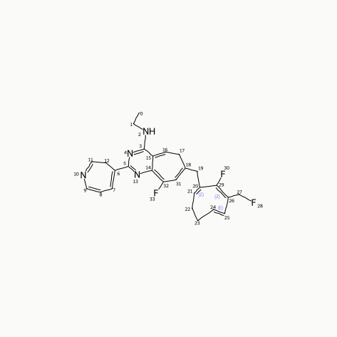 CCNc1nc(C2=CC=CN=CC2)nc2c1=CCC(CC1=C/CC/C=C/C(CF)=C\1F)=CC=2F